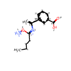 C=C(/N=C(/CCCC)ON)c1cccc(C(=O)O)c1